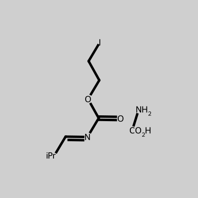 CC(C)C=NC(=O)OCCI.NC(=O)O